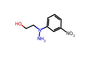 NN(CCO)c1cccc([N+](=O)[O-])c1